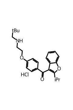 CC(C)c1oc2ccccc2c1C(=O)c1ccc(OCCNCC(C)(C)C)cc1.Cl